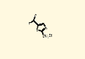 CCOC(=O)c1ncc(C(F)F)s1